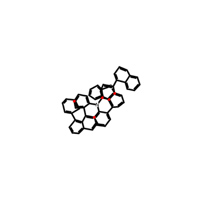 c1ccc(-c2cccc3cccc(-c4ccccc4N(c4ccc(-c5cccc6ccccc56)cc4)c4ccccc4-c4cccc5oc6ccccc6c45)c23)cc1